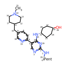 CCC[C@H](C)Nc1ncc(-c2ccc(CC3CCN(C)CC3)cn2)c(N[C@H]2CC[C@H](O)CC2)n1